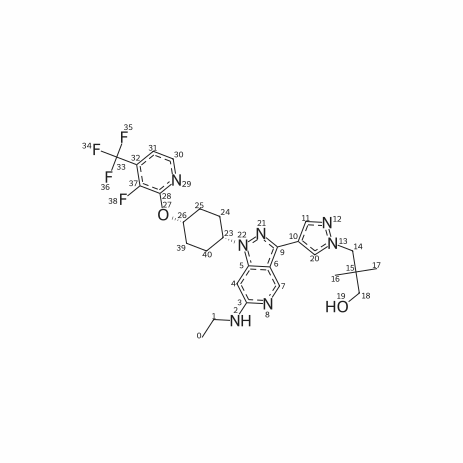 CCNc1cc2c(cn1)c(-c1cnn(CC(C)(C)CO)c1)nn2[C@H]1CC[C@@H](Oc2nccc(C(F)(F)F)c2F)CC1